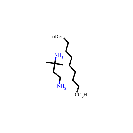 CC(C)(N)CCN.CCCCCCCCCCCCCCCCCC(=O)O